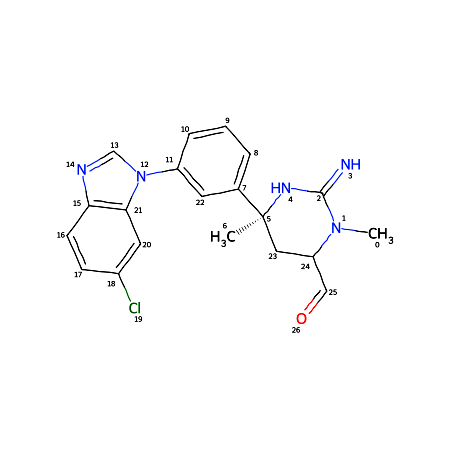 CN1C(=N)N[C@](C)(c2cccc(-n3cnc4ccc(Cl)cc43)c2)CC1C=O